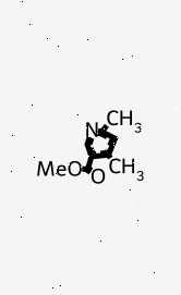 COC(=O)c1cnc(C)cc1C